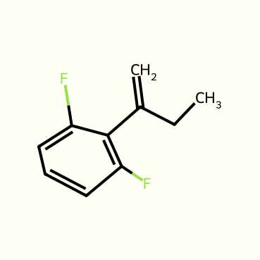 C=C(CC)c1c(F)cccc1F